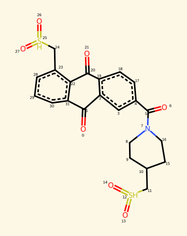 O=C1c2cc(C(=O)N3CCC(C[SH](=O)=O)CC3)ccc2C(=O)c2c(C[SH](=O)=O)cccc21